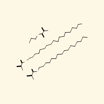 C=C(C)C(=O)OCCCCCCCCCCCCCCCC.C=C(C)C(=O)OCCCCCCCCCCCCCCCCCC.[CH2]CCOC(=O)C(=C)C